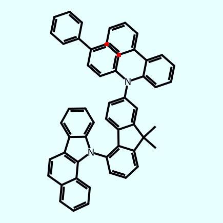 CC1(C)c2cc(N(c3ccc(-c4ccccc4)cc3)c3ccccc3-c3ccccc3)ccc2-c2c(-n3c4ccccc4c4ccc5ccccc5c43)cccc21